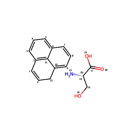 C1=Cc2cccc3cccc(c23)C1.N[C@@H](CO)C(=O)O